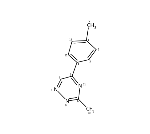 Cc1ccc(-c2cnnc(C(F)(F)F)n2)cc1